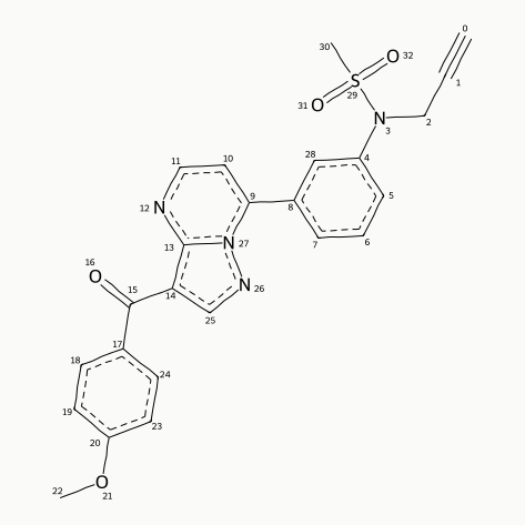 C#CCN(c1cccc(-c2ccnc3c(C(=O)c4ccc(OC)cc4)cnn23)c1)S(C)(=O)=O